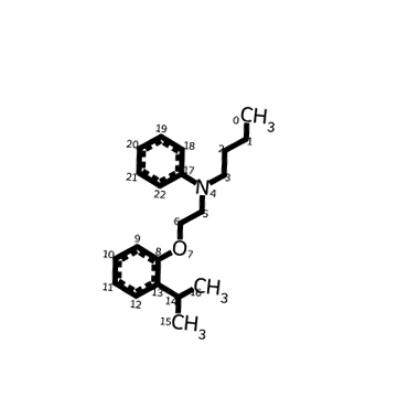 CCCCN(CCOc1ccccc1C(C)C)c1ccccc1